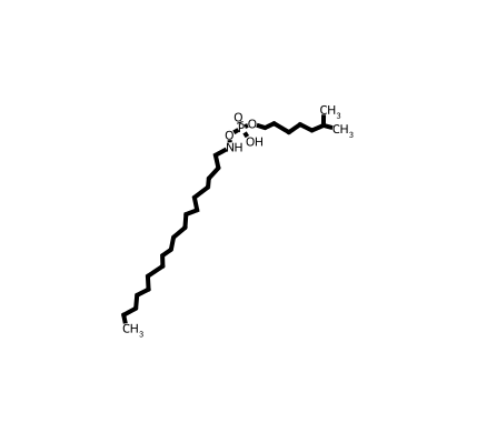 CCCCCCCCCCCCCCCCCCNOP(=O)(O)OCCCCCC(C)C